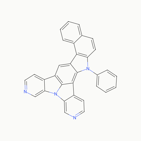 c1ccc(-n2c3ccc4ccccc4c3c3cc4c5ccncc5n5c6cnccc6c(c32)c45)cc1